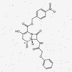 O=C(COc1ccccc1)NC1C(=O)N2C(C(=O)OCc3ccc([N+](=O)[O-])cc3)=C(O)C[S@+]([O-])[C@@H]12